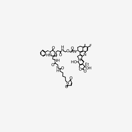 CC[C@@]1(O)C(=O)OCC2=C1C=C1c3nc4cc(F)c(C)c5c4c(c3CN1C2O)[C@@H](NC(=O)COCNC(=O)CNC(=O)[C@H](Cc1ccccc1)NC(=O)CNC(=O)CNC(=O)CCCCCN1C(=O)C=CC1=O)CC5